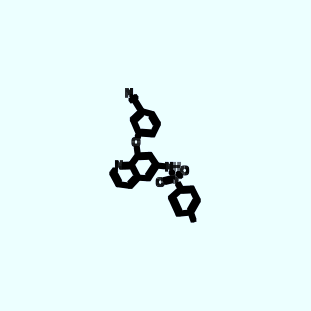 Cc1ccc(S(=O)(=O)Nc2cc(Oc3cccc(C#N)c3)c3ncccc3c2)cc1